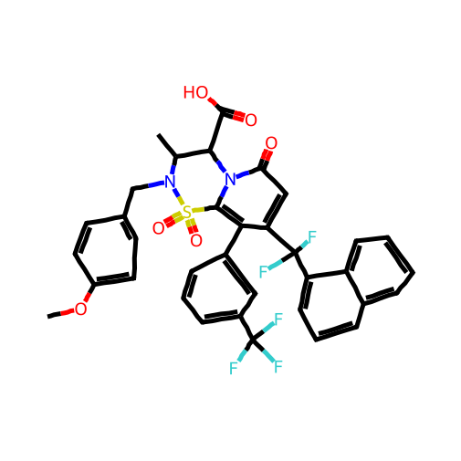 COc1ccc(CN2C(C)C(C(=O)O)n3c(c(-c4cccc(C(F)(F)F)c4)c(C(F)(F)c4cccc5ccccc45)cc3=O)S2(=O)=O)cc1